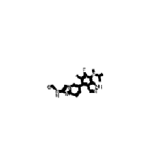 Cc1c(F)c(N(C)C(C)C)c2[nH]ncc2c1-c1ccc2nc(NC=O)cn2c1